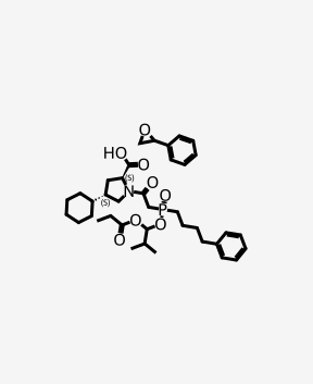 CCC(=O)OC(OP(=O)(CCCCc1ccccc1)CC(=O)N1C[C@H](C2CCCCC2)C[C@H]1C(=O)O)C(C)C.c1ccc(C2CO2)cc1